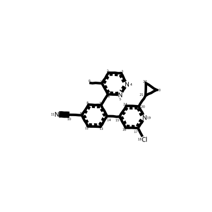 Cc1ccnnc1-c1cc(C#N)ccc1-c1cc(Cl)nc(C2CC2)c1